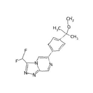 COC(C)(C)c1ccc(-c2cn3c(C(F)F)nnc3cn2)cc1